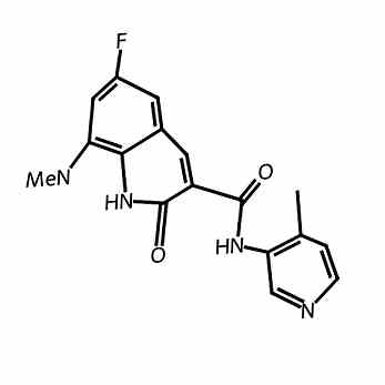 CNc1cc(F)cc2cc(C(=O)Nc3cnccc3C)c(=O)[nH]c12